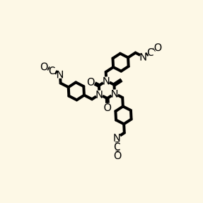 C=C1N(CC2CCC(CN=C=O)CC2)C(=O)N(CC2CCC(CN=C=O)CC2)C(=O)N1CC1CCC(CN=C=O)CC1